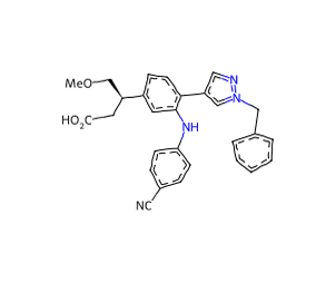 COC[C@H](CC(=O)O)c1ccc(-c2cnn(Cc3ccccc3)c2)c(Nc2ccc(C#N)cc2)c1